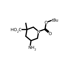 CC(C)(C)OC(=O)N1CC(N)CC(C)(C(=O)O)C1